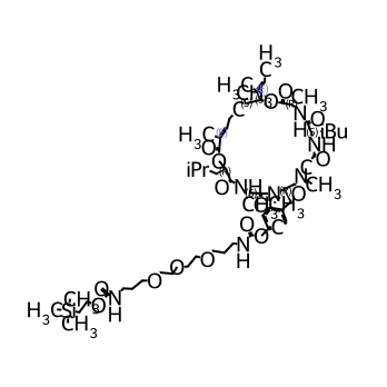 C/C=C(\C)[C@H]1OC(=O)[C@@H](C)NC(=O)[C@H](C(C)CC)NC(=O)CN(C)C(=O)[C@@H](Cc2ccc(OC(=O)NCCCOCCOCCOCCCNC(=O)OCC[Si](C)(C)C)cc2)N(C)C(=O)[C@H](C)NC(=O)[C@@H](CC(C)C)OC(=O)/C(C)=C/CC[C@@H]1C